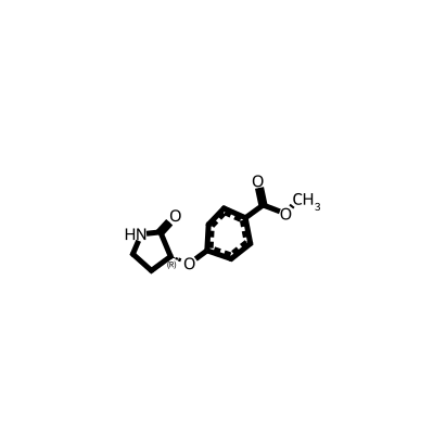 COC(=O)c1ccc(O[C@@H]2CCNC2=O)cc1